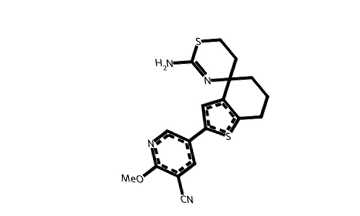 COc1ncc(-c2cc3c(s2)CCCC32CCSC(N)=N2)cc1C#N